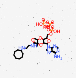 CC1OC2C(COP(=O)(O)OP(=O)(O)OP(=O)(O)O)OC(n3cnc4c(N)ncnc43)C2OC1(C)C(=O)NCCNC1CCCCCCC1